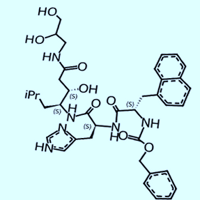 CC(C)C[C@H](NC(=O)[C@H](Cc1c[nH]cn1)NC(=O)[C@H](Cc1cccc2ccccc12)NC(=O)OCc1ccccc1)[C@@H](O)CC(=O)NCC(O)CO